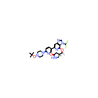 C[C@@H](Oc1nc(-c2ccc(N3CCN(OC(C)(C)C)CC3)nc2)cc2ncn(C(F)F)c12)[C@H]1CNC(=O)C1